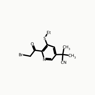 CCSc1cc(C(C)(C)C#N)cnc1C(=O)CBr